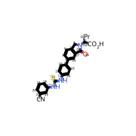 CC(C)[C@@H](C(=O)O)N1Cc2ccc(-c3ccc(NC(=S)Nc4cccc(C#N)c4)cc3)cc2C1=O